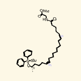 COC(=O)CNC(=O)CCC/C=C\CCCCCCC/C=C\CCC[C@H](C)O[Si](c1ccccc1)(c1ccccc1)C(C)(C)C